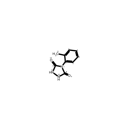 Cc1ccccc1-n1c(=O)[nH][nH]c1=O